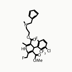 COC(=O)C1=C(CF)NC(C)=C(C(=O)OCCN(C)Cc2ccccc2)C1c1c(F)ccc(Cl)c1C(F)(F)F